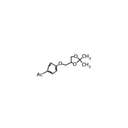 CC(=O)c1ccc(OCC2COC(C)(C)O2)cc1